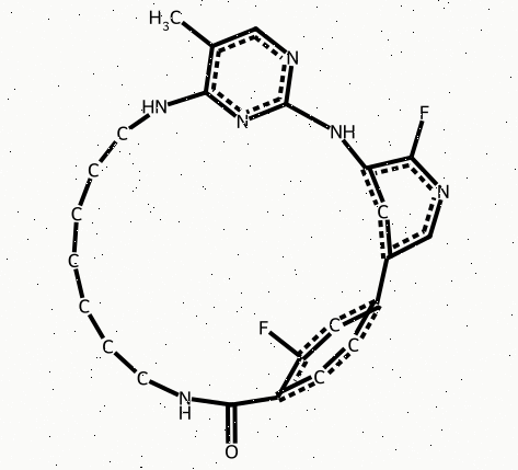 Cc1cnc2nc1NCCCCCCCNC(=O)c1ccc(cc1F)-c1cnc(F)c(c1)N2